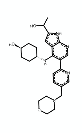 CC(O)c1cc2c(N[C@H]3CC[C@H](O)CC3)c(-c3ccc(CN4CCOCC4)cn3)cnc2[nH]1